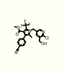 COC(=O)c1c(-c2ccc(C#N)cc2)c(C)n(Cc2cnc(Cl)c(CO)c2)c1C(F)(F)F